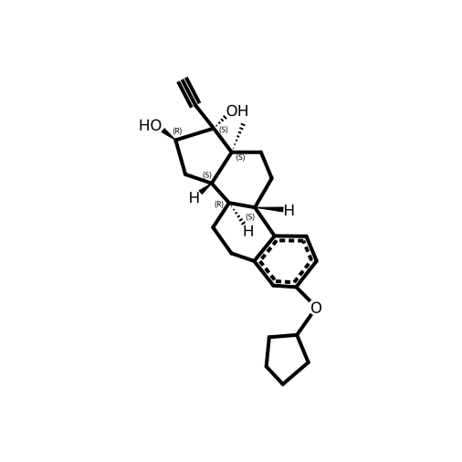 C#C[C@]1(O)[C@H](O)C[C@H]2[C@@H]3CCc4cc(OC5CCCC5)ccc4[C@H]3CC[C@@]21C